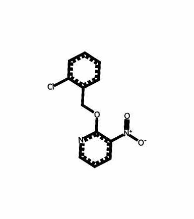 O=[N+]([O-])c1cccnc1OCc1ccccc1Cl